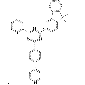 CC1(C)c2ccccc2-c2cc(-c3nc(-c4ccccc4)nc(-c4ccc(-c5ccncc5)cc4)n3)ccc21